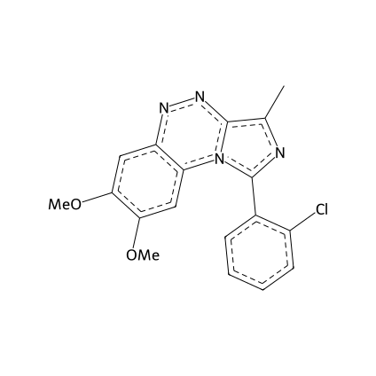 COc1cc2nnc3c(C)nc(-c4ccccc4Cl)n3c2cc1OC